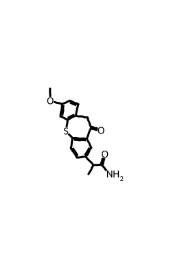 COc1ccc2c(c1)Sc1ccc(C(C)C(N)=O)cc1C(=O)C2